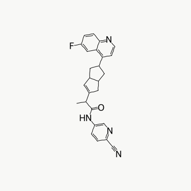 CC(C(=O)Nc1ccc(C#N)nc1)C1=CC2CC(c3ccnc4ccc(F)cc34)CC2C1